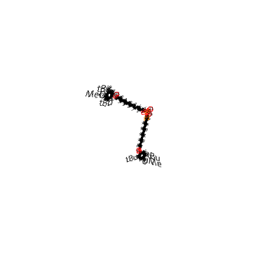 COc1cc(C(C)(C)C)c(OCCCCCCCCCCCCO[PH](=O)OCCCCCCCCCCCCOc2cc(C(C)(C)C)c(OC)cc2C(C)(C)C)cc1C(C)(C)C